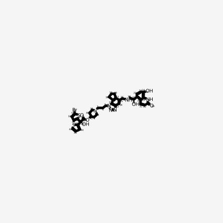 O=C(OC1CCN(CCCn2nnc3cc(CNC[C@H](O)c4ccc(O)c5[nH]c(=O)ccc45)c4c(c32)CCC4)CC1)[C@@](O)(c1cccs1)c1ccc(Br)s1